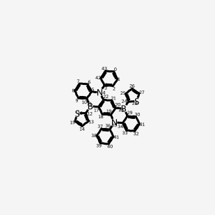 c1ccc(N2c3ccccc3B(c3cccs3)c3cc4c(cc32)B(c2cccs2)c2ccccc2N4c2ccccc2)cc1